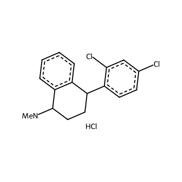 CNC1CCC(c2ccc(Cl)cc2Cl)c2ccccc21.Cl